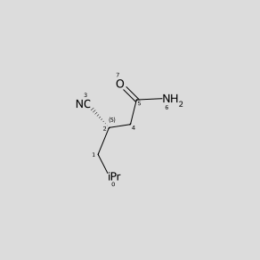 CC(C)C[C@H](C#N)CC(N)=O